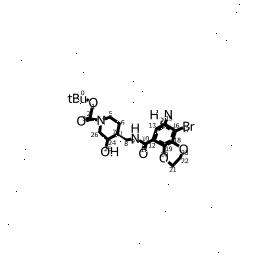 CC(C)(C)OC(=O)N1CC[C@@H](CNC(=O)c2cc(N)c(Br)c3c2OCCO3)C(O)C1